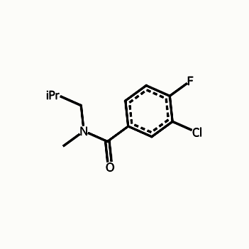 CC(C)CN(C)C(=O)c1ccc(F)c(Cl)c1